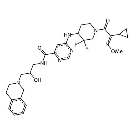 CON=C(C(=O)N1CCC(Nc2cc(C(=O)NCC(O)CN3CCc4ccccc4C3)ncn2)C(F)(F)C1)C1CC1